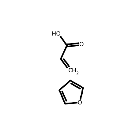 C=CC(=O)O.c1ccoc1